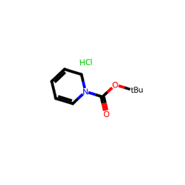 CC(C)(C)OC(=O)N1C=CC=CC1.Cl